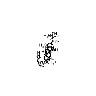 CC(C)[C@@H](OC(=O)N(C)C)[C@H]1C[C@@H](C)[C@H]2[C@H](O1)[C@H](O)[C@@]1(C)[C@@H]3CC[C@H]4C(C)(C)[C@@H](O[C@H]5CN(CC6CNC6)CCO5)CC[C@@]45C[C@@]35CC[C@]21C